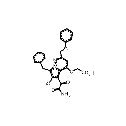 CCc1c(C(=O)C(N)=O)c2c(OCC(=O)O)cc(COc3ccccc3)nn2c1Cc1ccccc1